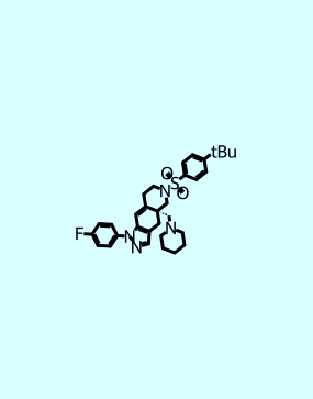 CC(C)(C)c1ccc(S(=O)(=O)N2CCC3=Cc4c(cnn4-c4ccc(F)cc4)C[C@]3(CN3CCCCC3)C2)cc1